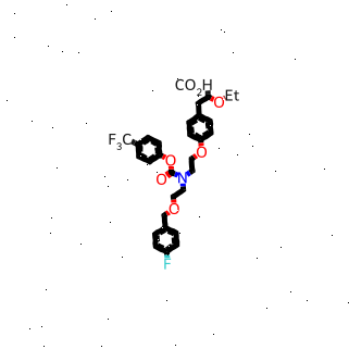 CCOC(Cc1ccc(OCCN(CCOCc2ccc(F)cc2)C(=O)Oc2ccc(C(F)(F)F)cc2)cc1)C(=O)O